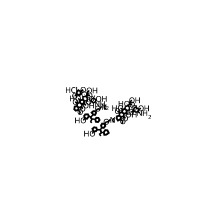 CC/C(=C(/c1ccc(OCCN(C)C)cc1)c1cccc(O)c1)c1ccccc1.CC/C(=C(/c1ccc(OCCN(C)C)cc1)c1cccc(O)c1)c1ccccc1.COc1cccc2c1C(=O)c1c(O)c3c(c(O)c1C2=O)C[C@@](O)(C(=O)CO)C[C@@H]3OC1CC(N)C(O)C(C)O1.COc1cccc2c1C(=O)c1c(O)c3c(c(O)c1C2=O)C[C@@](O)(C(=O)CO)C[C@@H]3O[C@H]1C[C@H](N)[C@H](O)[C@H](C)O1.Cl.O=C1C=CC(=O)C=C1